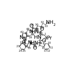 CC(C)C[C@@H](NC(=O)[C@@H](Cc1ccccc1)NC(=O)[C@H](N)Cc1ccccc1)C(=O)N[C@H](CCCCN)C(=O)N1CCc2c(cnn2I)C1